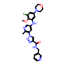 COc1c(F)cc(N2CCOCC2)cc1Nc1cnc(C)c(-n2cc(C(=O)NCc3cccnc3)nn2)c1